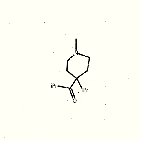 CC(C)C(=O)C1(C(C)C)CCN(C)CC1